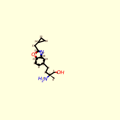 C[C@](N)(CO)CCc1ccc2oc(CC3CC3)nc2c1